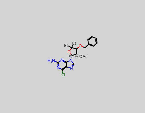 CCC1(CC)O[C@@H](n2cnc3c(Cl)nc(N)nc32)[C@@H](OC(C)=O)C1OCc1ccccc1